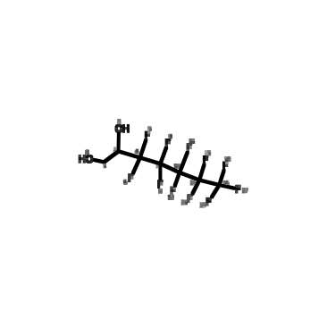 OCC(O)C(F)(F)C(F)(F)C(F)(F)C(F)(F)C(F)(F)F